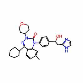 Cc1ccc2c(c1)N(c1ccc(C(O)Cc3ncc[nH]3)cc1)C(=O)N(C1CCOCC1)N=C2C1CCCCC1